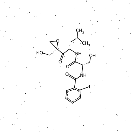 CC(C)C[C@H](NC(=O)[C@H](CO)NC(=O)c1ccccc1I)C(=O)[C@@]1(CO)CO1